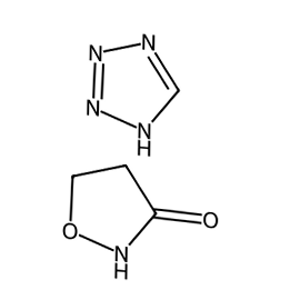 O=C1CCON1.c1nnn[nH]1